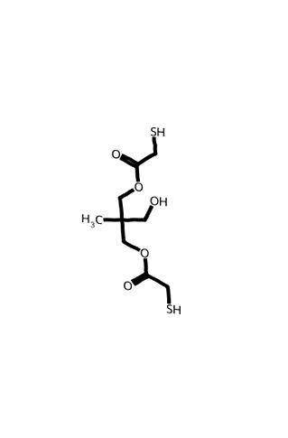 CC(CO)(COC(=O)CS)COC(=O)CS